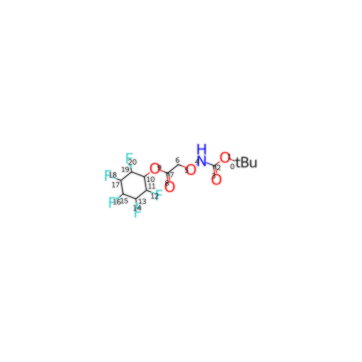 CC(C)(C)OC(=O)NOCC(=O)OC1C(F)[C@@H](F)[C@@H](F)C(F)[C@H]1F